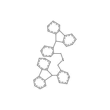 c1ccc(C2c3ccccc3-c3ccccc32)c(CSCc2ccccc2C2c3ccccc3-c3ccccc32)c1